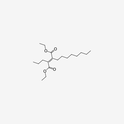 CCCCCCCCC(C(=O)OCC)=C(CCC)C(=O)OCC